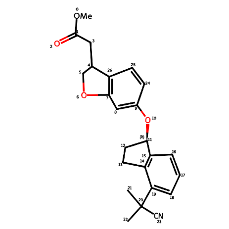 COC(=O)CC1COc2cc(O[C@@H]3CCc4c3cccc4C(C)(C)C#N)ccc21